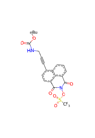 CCCCOC(=O)NCC#Cc1ccc2c3c(cccc13)C(=O)N(OS(=O)(=O)C(F)(F)F)C2=O